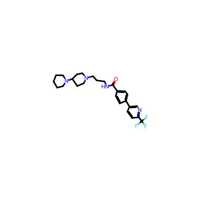 O=C(NCCCN1CCC(N2CCCCC2)CC1)c1ccc(-c2ccc(C(F)(F)F)nc2)cc1